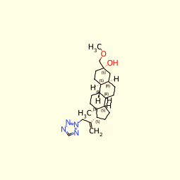 C=C(Cn1ncnn1)[C@H]1CC[C@H]2[C@@H]3CC[C@@H]4C[C@](O)(COC)CC[C@@H]4[C@H]3CC[C@]12C